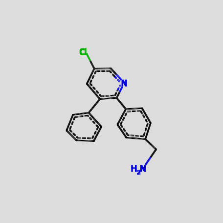 NCc1ccc(-c2ncc(Cl)cc2-c2ccccc2)cc1